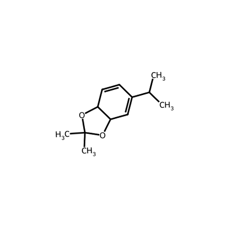 CC(C)C1=CC2OC(C)(C)OC2C=C1